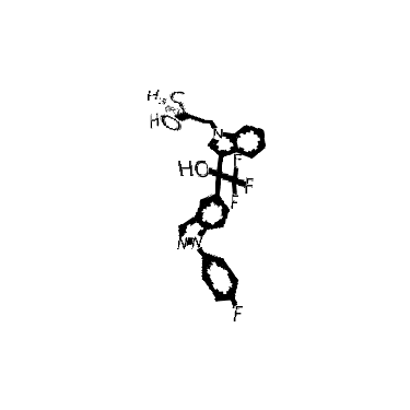 C[C@@H](O)Cn1cc(C(O)(c2ccc3c(cnn3-c3ccc(F)cc3)c2)C(F)(F)F)c2ccccc21